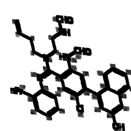 C=CCCN(CCNC=O)/C(=N/c1ccccc1CCC)c1cc(Cl)c(-c2cc(O)cc3ccccc23)cc1NC=O